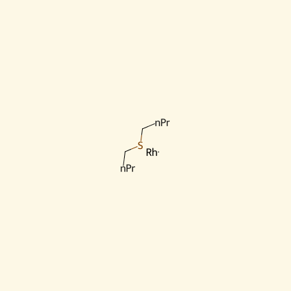 CCCCSCCCC.[Rh]